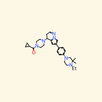 CCN1CCN(c2ccc(-c3cc4n(c3)N=CCC4N3CCN(C(=O)C4CC4)CC3)cc2)CC1(C)C